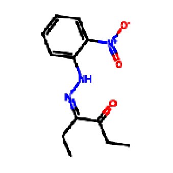 CCC(=O)C(CC)=NNc1ccccc1[N+](=O)[O-]